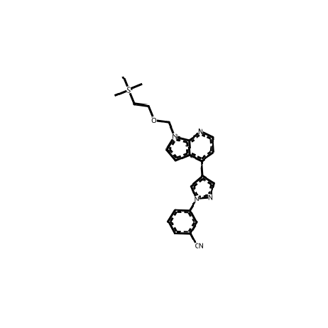 CS(C)(C)CCOCn1ccc2c(-c3cnn(-c4cccc(C#N)c4)c3)ccnc21